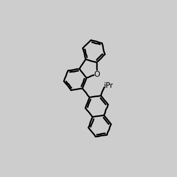 CC(C)c1cc2ccccc2cc1-c1cccc2c1oc1ccccc12